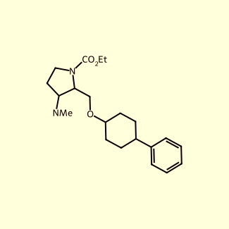 CCOC(=O)N1CCC(NC)C1COC1CCC(c2ccccc2)CC1